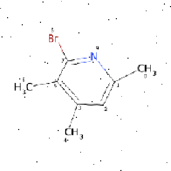 Cc1cc(C)c(C)c(Br)n1